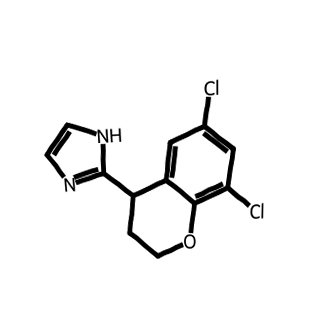 Clc1cc(Cl)c2c(c1)C(c1ncc[nH]1)CCO2